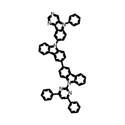 c1ccc(-c2cc(-c3ccccc3)nc(-n3c4ccccc4c4cc(-c5ccc6c(c5)c5ccccc5n6-c5ccc6c(c5)c5ncncc5n6-c5ccccc5)ccc43)n2)cc1